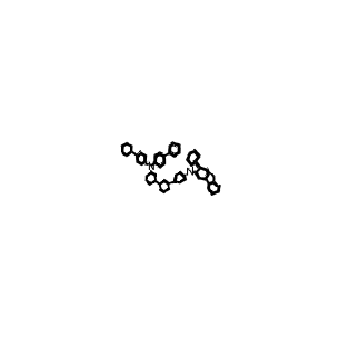 c1ccc(-c2ccc(N(c3ccc(-c4ccccc4)cc3)c3cccc(-c4cccc(-c5ccc(-n6c7ccccc7c7cc8c(cc76)-c6ccccc6C8)cc5)c4)c3)cc2)cc1